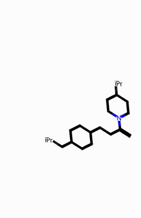 C=C(CCC1CCC(CC(C)C)CC1)N1CCC(C(C)C)CC1